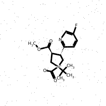 COC(=O)[C@@H]1C[N+](C(=O)[O-])(C(C)(C)C)C[C@H]1c1ccc(F)cn1